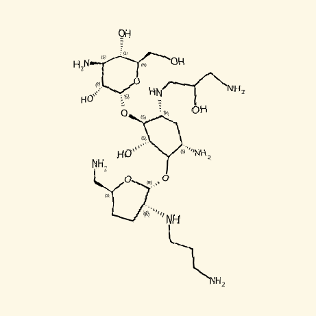 NCCCN[C@@H]1CC[C@@H](CN)O[C@@H]1OC1[C@@H](N)C[C@@H](NCC(O)CN)[C@H](O[C@H]2O[C@H](CO)[C@@H](O)[C@H](N)[C@H]2O)[C@H]1O